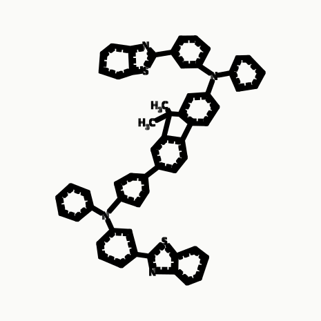 CC1(C)c2cc(-c3ccc(N(c4ccccc4)c4cccc(-c5nc6ccccc6s5)c4)cc3)ccc2-c2ccc(N(c3ccccc3)c3cccc(-c4nc5ccccc5s4)c3)cc21